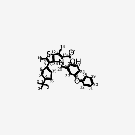 CC(C)(C)c1ccc(-c2c(I)sc3c(I)c(C(=O)O)n(Cc4cccc(Oc5ccccc5)c4)c23)cc1